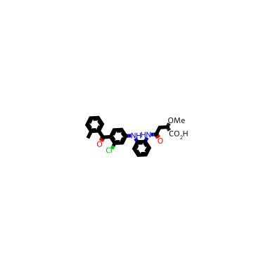 COC(CC(=O)Nc1ccccc1Nc1ccc(C(=O)c2ccccc2C)c(Cl)c1)C(=O)O